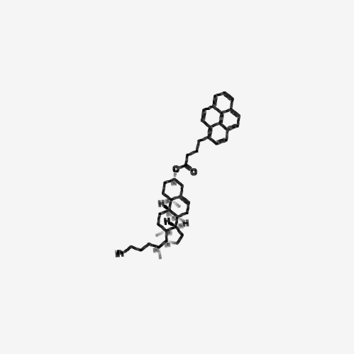 CC(C)CCC[C@@H](C)[C@H]1CC[C@H]2[C@@H]3CC=C4C[C@@H](OC(=O)CCCc5ccc6ccc7cccc8ccc5c6c78)CC[C@]4(C)[C@H]3CC[C@]12C